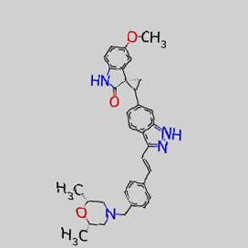 COc1ccc2c(c1)[C@]1(CC1c1ccc3c(/C=C/c4ccc(CN5C[C@@H](C)O[C@@H](C)C5)cc4)n[nH]c3c1)C(=O)N2